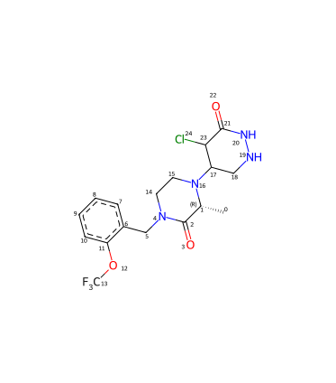 C[C@@H]1C(=O)N(Cc2ccccc2OC(F)(F)F)CCN1C1CNNC(=O)C1Cl